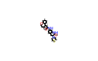 O=C(/C=C1/c2ccccc2OCCC1C(F)(F)F)Nc1ccc2c(c1)NC(=O)C(N1CCSCC1)C2